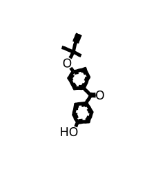 C#CC(C)(C)Oc1ccc(C(=O)c2ccc(O)cc2)cc1